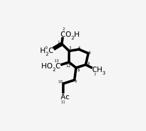 C=C(C(=O)O)C1CCC(C)C(CCC(C)=O)C1C(=O)O